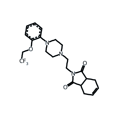 O=C1C2CC=CCC2C(=O)N1CCN1CCN(c2ccccc2OCC(F)(F)F)CC1